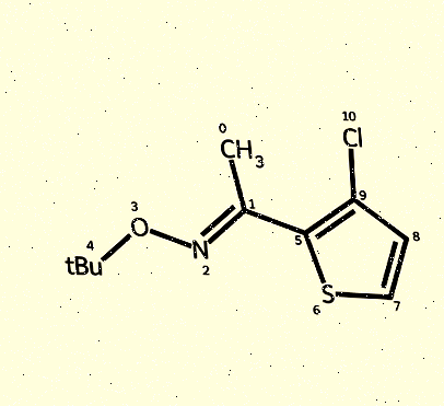 CC(=NOC(C)(C)C)c1sccc1Cl